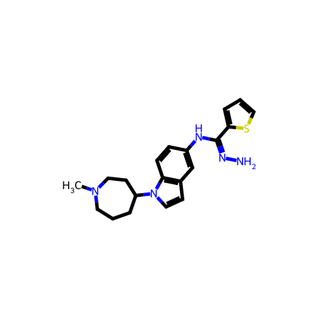 CN1CCCC(n2ccc3cc(NC(=NN)c4cccs4)ccc32)CC1